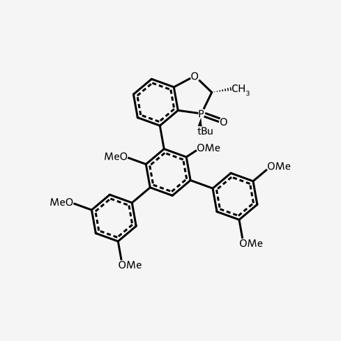 COc1cc(OC)cc(-c2cc(-c3cc(OC)cc(OC)c3)c(OC)c(-c3cccc4c3[P@](=O)(C(C)(C)C)[C@@H](C)O4)c2OC)c1